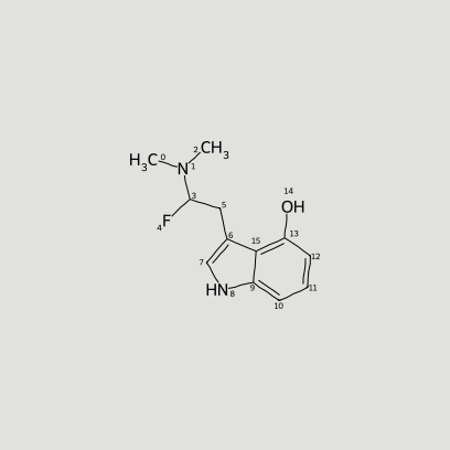 CN(C)C(F)Cc1c[nH]c2cccc(O)c12